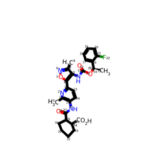 Cc1nc(-c2onc(C)c2NC(=O)O[C@H](C)c2ccccc2F)ccc1NC(=O)C1CCCCC1C(=O)O